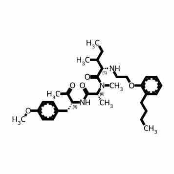 CCCCc1ccccc1OCCN[C@H](C(=O)N(C)[C@H](C)C(=O)N[C@H](Cc1ccc(OC)cc1)C(C)=O)C(C)CC